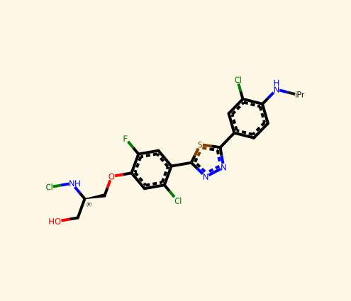 CC(C)Nc1ccc(-c2nnc(-c3cc(F)c(OC[C@@H](CO)NCl)cc3Cl)s2)cc1Cl